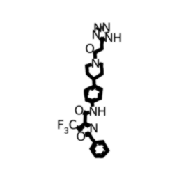 O=C(Nc1ccc(C2CCN(C(=O)Cc3nnn[nH]3)CC2)cc1)c1nc(-c2ccccc2)oc1C(F)(F)F